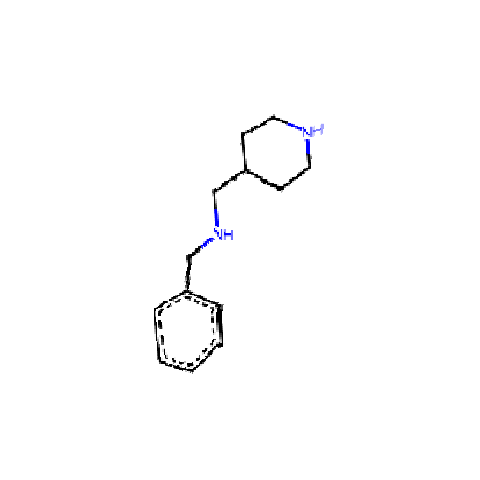 c1ccc(CNCC2CCNCC2)cc1